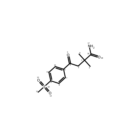 CC(C)([CH]C(=O)c1ccc(S(C)(=O)=O)cc1)C(N)=O